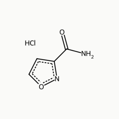 Cl.NC(=O)c1ccon1